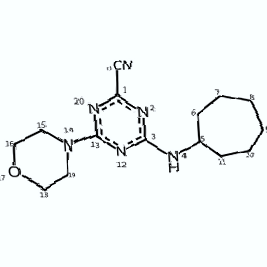 N#Cc1nc(NC2CCCCCC2)nc(N2CCOCC2)n1